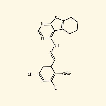 COc1c(Cl)cc(Cl)cc1/C=N/Nc1ncnc2sc3c(c12)CCCC3